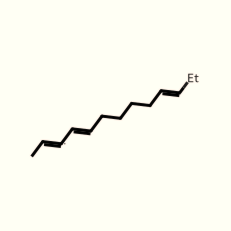 CC=[C]C=CCCCCC=CCC